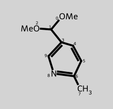 COC(OC)c1ccc(C)nc1